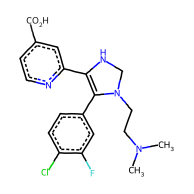 CN(C)CCN1CNC(c2cc(C(=O)O)ccn2)=C1c1ccc(Cl)c(F)c1